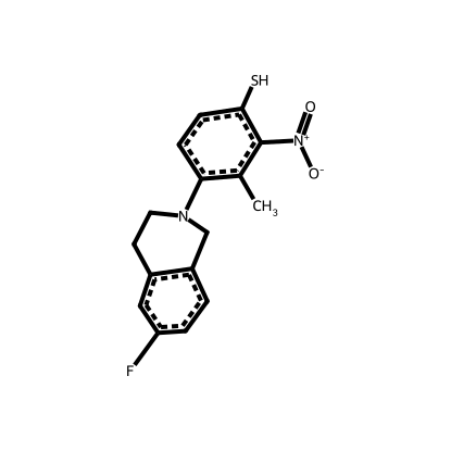 Cc1c(N2CCc3cc(F)ccc3C2)ccc(S)c1[N+](=O)[O-]